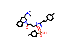 Cc1ccc(C=Cc2noc(CCC(=O)N3CC(CN(C)C)Cc4ccccc43)n2)cc1.Cc1ccc(S(=O)(=O)O)cc1